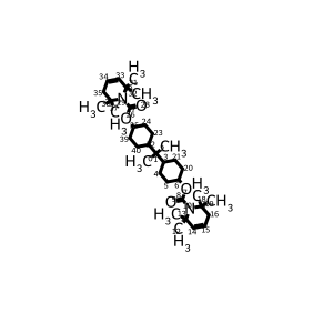 CC(C)(C1CCC(OC(=O)N2C(C)(C)C=CCC2(C)C)CC1)C1CCC(OC(=O)N2C(C)(C)C=CCC2(C)C)CC1